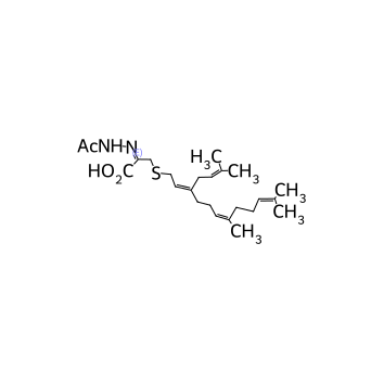 CC(=O)N/N=C(/CSCC=C(CC=C(C)C)CCC=C(C)CCC=C(C)C)C(=O)O